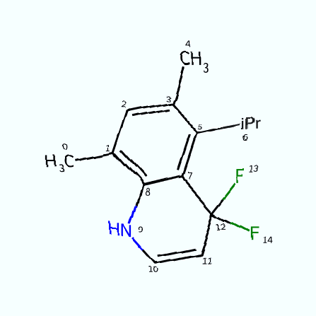 Cc1cc(C)c(C(C)C)c2c1NC=CC2(F)F